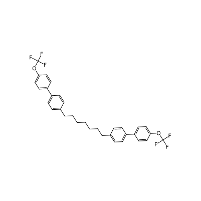 FC(F)(F)Oc1ccc(-c2ccc(CCCCCCCc3ccc(-c4ccc(OC(F)(F)F)cc4)cc3)cc2)cc1